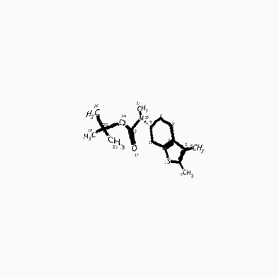 Cc1sc2c(c1C)CC[C@@H](N(C)C(=O)OC(C)(C)C)C2